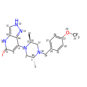 C[C@@H]1CN(c2cc(=O)n(C)c3c[nH]nc23)[C@@H](C)CN1Cc1ccc(OC(F)(F)F)cc1